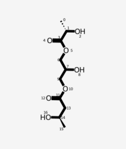 C[C@H](O)C(=O)OCC(O)COC(=O)C[C@@H](C)O